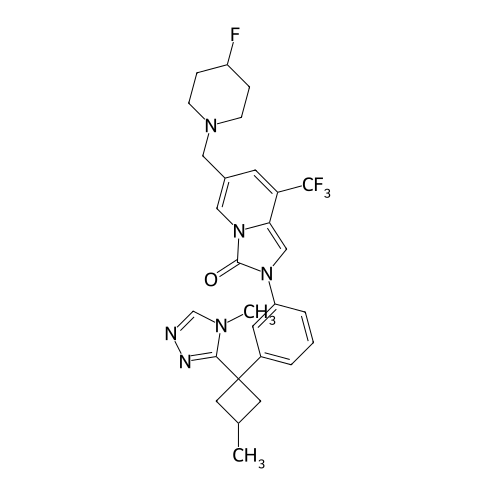 CC1CC(c2cccc(-n3cc4c(C(F)(F)F)cc(CN5CCC(F)CC5)cn4c3=O)c2)(c2nncn2C)C1